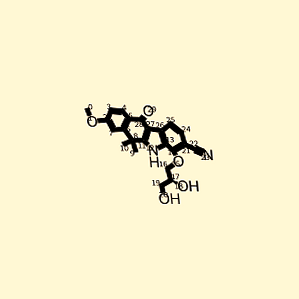 COc1ccc2c(c1)C(C)(C)c1[nH]c3c(OC[C@@H](O)CO)c(C#N)ccc3c1C2=O